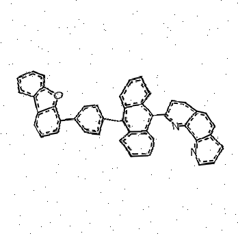 c1cnc2c(c1)ccc1ccc(-c3c4ccccc4c(-c4ccc(-c5cccc6c5oc5ccccc56)cc4)c4ccccc34)nc12